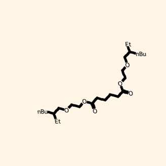 CCCCC(CC)COCCOC(=O)CCCCC(=O)OCCOCC(CC)CCCC